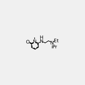 CCN(CCNc1cccc(=O)n1C)C(C)C